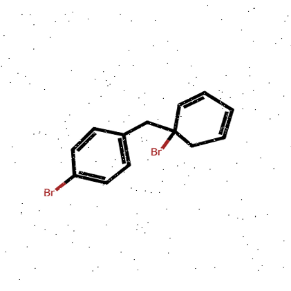 Brc1ccc(CC2(Br)C=CC=CC2)cc1